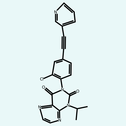 CC(C)n1c(=O)n(-c2ccc(C#Cc3cccnc3)cc2Cl)c(=O)c2nccnc21